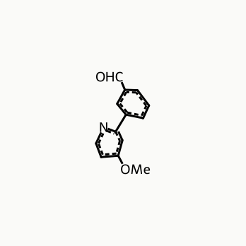 COc1ccnc(-c2cccc(C=O)c2)c1